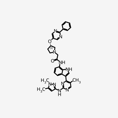 Cc1cnc(Nc2cc(C)n(C)n2)nc1-c1c[nH]c2c(NC(=O)CN3CC[C@H](Oc4cnc(-c5ccccc5)nc4)C3)cccc12